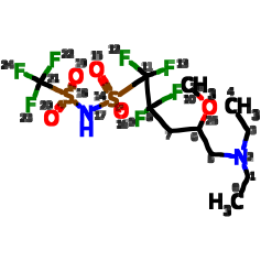 CCN(CC)CC(CC(F)(F)C(F)(F)S(=O)(=O)NS(=O)(=O)C(F)(F)F)OC